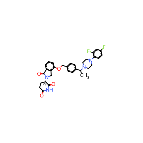 CC(c1ccc(COc2cccc3c2CN([C@H]2CCC(=O)NC2=O)C3=O)cc1)N1CCN(c2ccc(F)cc2F)CC1